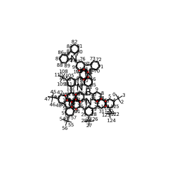 CC(C)(C)c1cc(-c2ccc3c(c2)N(c2c(-c4ccccc4)cc(C(C)(C)C)cc2-c2ccccc2)c2cc(-n4c5ccc(C(C)(C)C)cc5c5cc(C(C)(C)C)ccc54)cc4c2B3c2ccc(-n3c5ccccc5c5cc(-n6c7ccccc7c7ccccc76)ccc53)cc2N4c2c(-c3ccccc3)cc(C(C)(C)C)cc2-c2ccccc2)cc(C(C)(C)C)c1